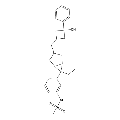 CCC1(c2cccc(NS(C)(=O)=O)c2)C2CN(CC3CC(O)(c4ccccc4)C3)CC21